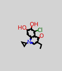 CCc1cn(C2CC2)c2cc(O)c(O)c(Cl)c2c1=O